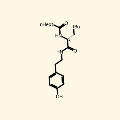 CCCCCCCC(=O)N[C@H](CC(C)(C)C)C(=O)NCCc1ccc(O)cc1